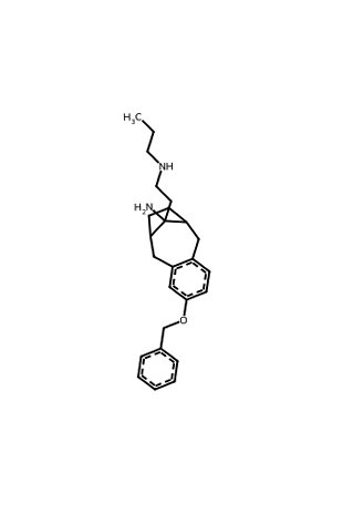 CCCNCCC1(N)C2CCC1Cc1cc(OCc3ccccc3)ccc1C2